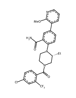 CC[C@@H]1CN(C(=O)c2ccc(Cl)cc2C(F)(F)F)CCN1c1ccc(-c2cccnc2OC)cc1C(N)=O